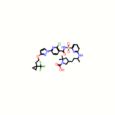 CC(CCC1CN(C(=O)O)C(C)(C)C1)Nc1cccc(S(=O)(=O)NC(=O)c2ccc(-n3ccc(OCCC4(C(F)(F)F)CC4)n3)nc2Cl)n1